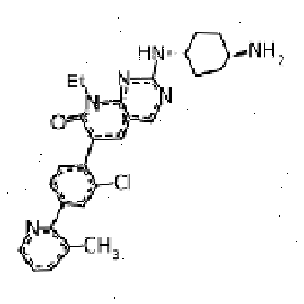 CCn1c(=O)c(-c2ccc(-c3ncccc3C)cc2Cl)cc2cnc(N[C@H]3CC[C@H](N)CC3)nc21